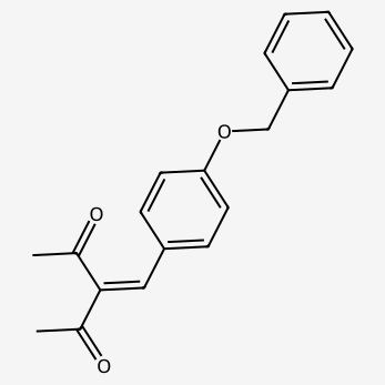 CC(=O)C(=Cc1ccc(OCc2ccccc2)cc1)C(C)=O